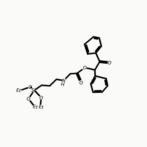 CCO[Si](CCCNCC(=O)OC(C(=O)c1ccccc1)c1ccccc1)(OCC)OCC